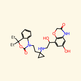 CCC1(CC)OC(=O)N(CCC2(NCC(O)c3cc(O)cc4c3OCC(=O)N4)CC2)c2ccccc21